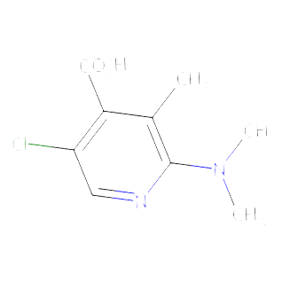 Cc1c(N(C)C)ncc(Cl)c1C(=O)O